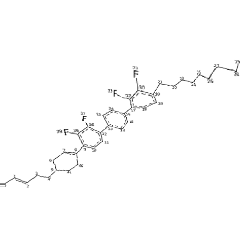 C/C=C/CCC1CC=C(c2ccc(-c3ccc(-c4ccc(CCCCCCCCC)c(F)c4F)cc3)c(F)c2F)CC1